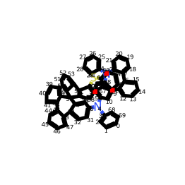 c1ccc(N(c2ccc3c(c2)-c2ccccc2-c2ccccc2N3c2ccccc2)c2ccc3c(c2)C2(c4ccccc4-c4ccccc4-3)c3ccccc3-c3c2ccc2c3sc3ccccc32)cc1